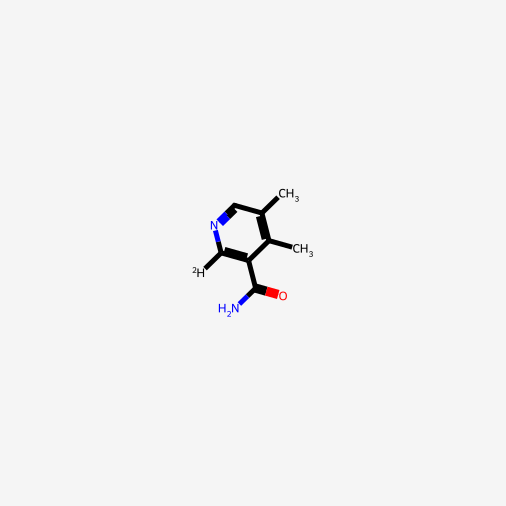 [2H]c1ncc(C)c(C)c1C(N)=O